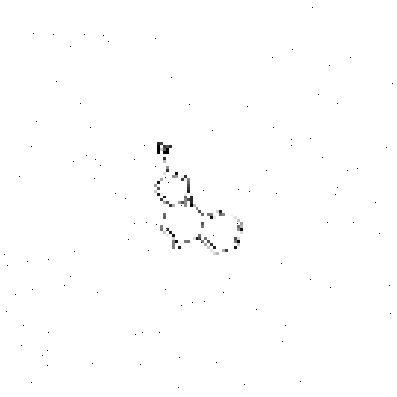 Brc1cc2cnc3ccccc3n2c1